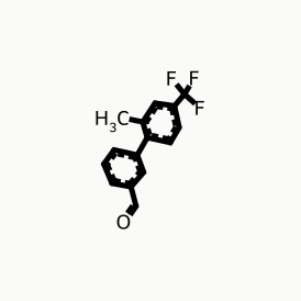 Cc1cc(C(F)(F)F)ccc1-c1cccc(C=O)c1